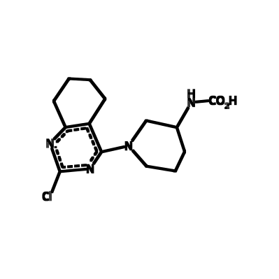 O=C(O)NC1CCCN(c2nc(Cl)nc3c2CCCC3)C1